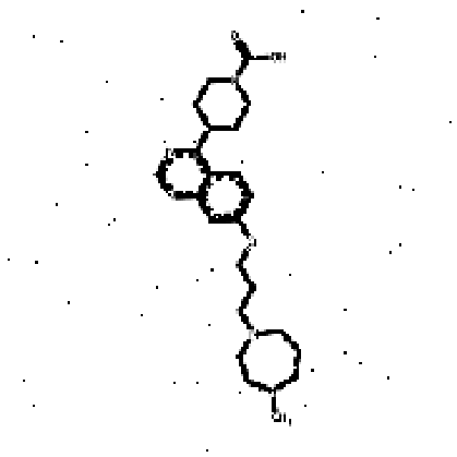 CN1CCCN(CCCOc2ccc3c(C4CCN(C(=O)O)CC4)ncnc3c2)CC1